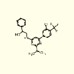 CN(C)c1nc(NCC(O)c2ccccc2)cc(-c2ccc(C(F)(F)F)c(Cl)c2)n1